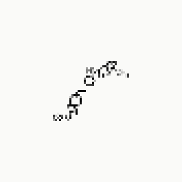 Cc1ncc(CC(=O)N[C@H]2CC[C@H](CCN3CCc4nc(OC5COC5)sc4CC3)CC2)s1